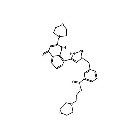 O=C(OCCN1CCOCC1)c1cccc(CN2C=C(c3cccc4c(=O)cc(N5CCOCC5)[nH]c34)NN2)c1